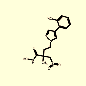 CC(CCn1cc(-c2ccccc2C#N)cn1)(C[SH](=O)=O)C(=O)NO